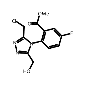 COC(=O)c1cc(F)ccc1-n1c(CO)nnc1CCl